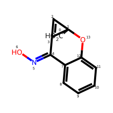 O=C(O)C12C=C1C(=NO)c1ccccc1O2